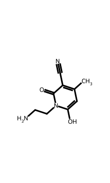 Cc1cc(O)n(CCN)c(=O)c1C#N